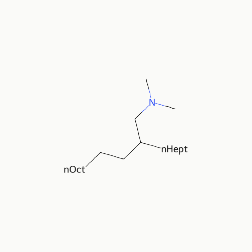 CCCCCCCCCCC(CCCCCCC)CN(C)C